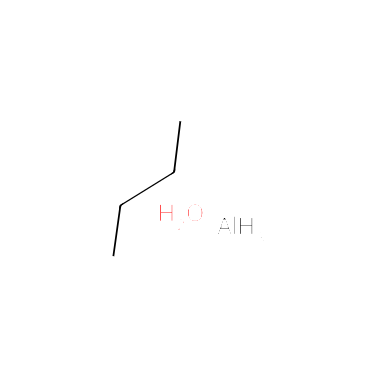 CCCC.O.[AlH3]